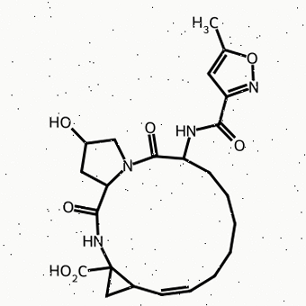 Cc1cc(C(=O)NC2CCCCC/C=C\C3CC3(C(=O)O)NC(=O)C3CC(O)CN3C2=O)no1